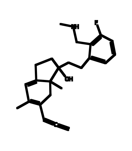 C=C=CC1=C(C)C=C2CCC(O)(CCc3cccc(F)c3CNC)C2(C)C1